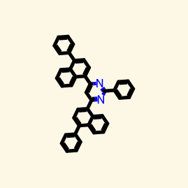 c1ccc(-c2nc(-c3ccc(-c4ccccc4)c4ccccc34)cc(-c3ccc(-c4ccccc4)c4ccccc34)n2)cc1